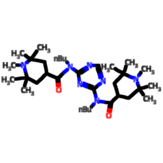 CCCCN(C(=O)C1CC(C)(C)N(C)C(C)(C)C1)c1ncnc(N(CCCC)C(=O)C2CC(C)(C)N(C)C(C)(C)C2)n1